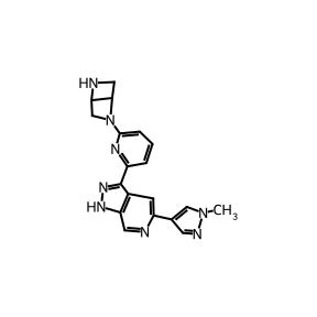 Cn1cc(-c2cc3c(-c4cccc(N5CC6NCC65)n4)n[nH]c3cn2)cn1